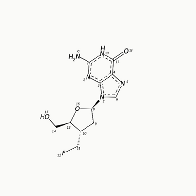 Nc1nc2c(ncn2[C@H]2C[C@H](CF)[C@@H](CO)O2)c(=O)[nH]1